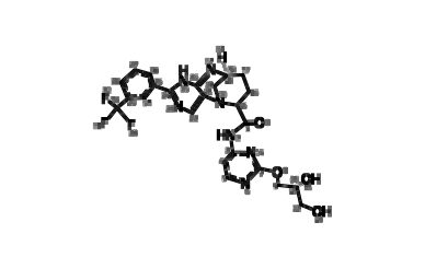 O=C(Nc1ccnc(OC[C@H](O)CO)n1)C1CC[C@H]2CN1C1=CN=C(c3cccc(C(F)(F)F)c3)NC1=N2